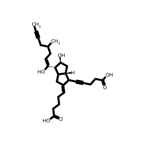 CC#CCC(C)C/C=C(/O)[C@H]1C2C/C(=C\CCCC(=O)O)C(C#CCCC(=O)O)[C@H]2C[C@@H]1O